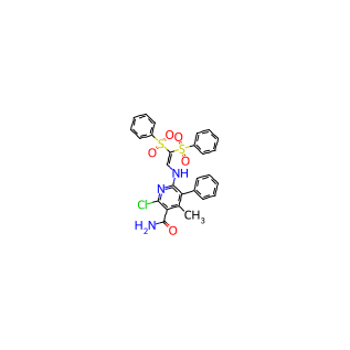 Cc1c(C(N)=O)c(Cl)nc(NC=C(S(=O)(=O)c2ccccc2)S(=O)(=O)c2ccccc2)c1-c1ccccc1